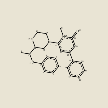 CC(Oc1ccccc1)C1CN(c2nc(-c3ccncc3)cc(=O)n2C)CCO1